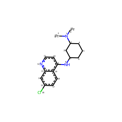 CC(C)N(C(C)C)C1CCCC(Nc2ccnc3cc(Cl)ccc23)C1